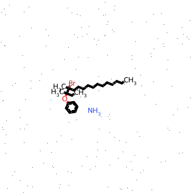 CCCCCCCCCCCCC(C)(Br)C(C)(CC)Oc1ccccc1.N